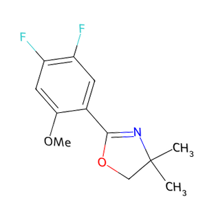 COc1cc(F)c(F)cc1C1=NC(C)(C)CO1